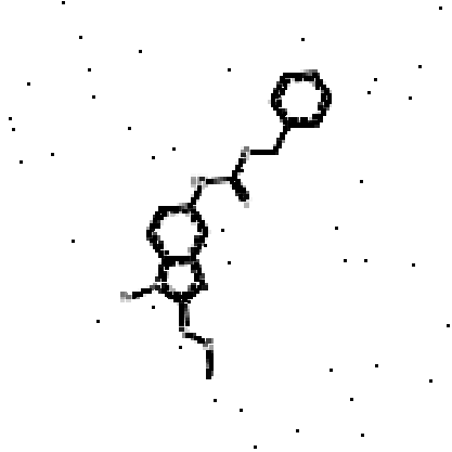 CCO/N=c1\sc2cc(NC(=O)OCc3ccccc3)ccc2n1CC